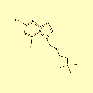 C[Si](C)(C)CCOCn1cnc2nc(Cl)nc(Cl)c21